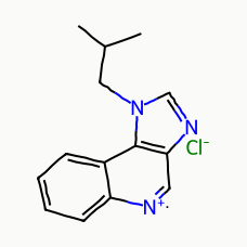 CC(C)Cn1cnc2c1-c1ccccc1[N+]=C2.[Cl-]